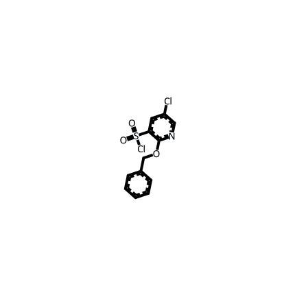 O=S(=O)(Cl)c1cc(Cl)cnc1OCc1ccccc1